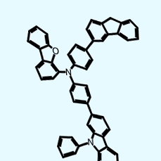 c1ccc(-n2c3ccccc3c3ccc(-c4ccc(N(c5ccc(-c6ccc7c(c6)-c6ccccc6C7)cc5)c5cccc6c5oc5ccccc56)cc4)cc32)cc1